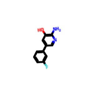 Nc1ncc(-c2cccc(F)c2)cc1O